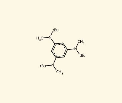 CN(c1cc(N(C)C(C)(C)C)cc(N(C)C(C)(C)C)c1)C(C)(C)C